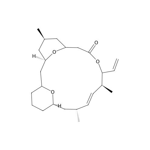 C=CC1OC(=O)CC2C[C@H](C)C[C@H](CC3CCC[C@H](C[C@@H](C)/C=C/[C@@H]1C)O3)O2